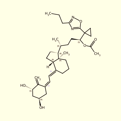 C=C1/C(=C\C=C2/CCC[C@]3(C)[C@@H]([C@H](C)CC[C@H](OC(C)=O)C4(c5nc(CCC)no5)CC4)CC[C@@H]23)C[C@@H](O)C[C@@H]1O